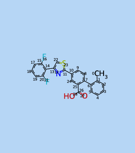 Cc1ccccc1-c1ccc(-c2nc(-c3c(F)cccc3F)cs2)cc1C(=O)O